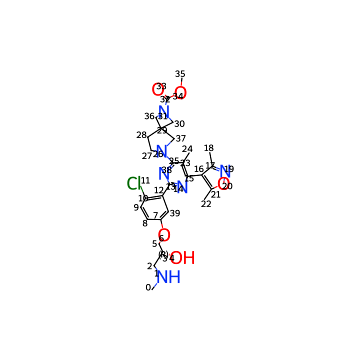 CNC[C@@H](O)COc1ccc(Cl)c(-c2nc(-c3c(C)noc3C)c(C)c(N3CCC4(CN(C(=O)OC)C4)C3)n2)c1